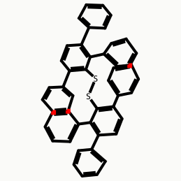 c1ccc(-c2ccc(-c3ccccc3)c(-c3ccccc3)c2SSc2c(-c3ccccc3)ccc(-c3ccccc3)c2-c2ccccc2)cc1